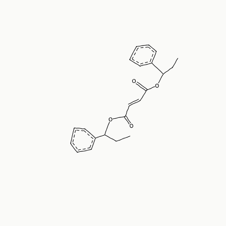 CCC(OC(=O)/C=C/C(=O)OC(CC)c1ccccc1)c1ccccc1